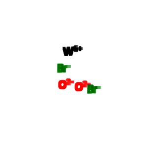 [Br-].[Br-].[O-2].[O-2].[W+6]